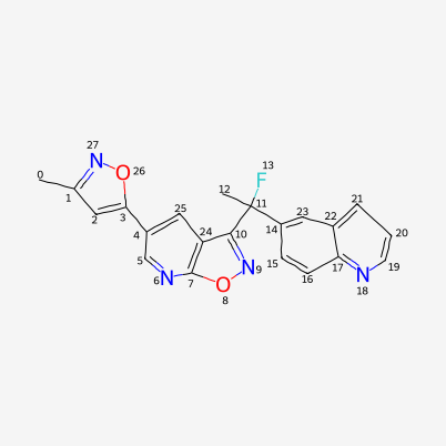 Cc1cc(-c2cnc3onc(C(C)(F)c4ccc5ncccc5c4)c3c2)on1